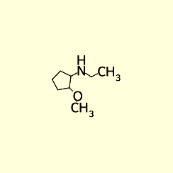 CCNC1CCCC1OC